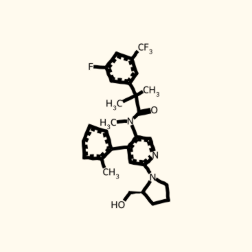 Cc1ccccc1-c1cc(N2CCC[C@H]2CO)ncc1N(C)C(=O)C(C)(C)c1cc(F)cc(C(F)(F)F)c1